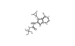 Cc1cccc2nc(NC(=O)CC(C)(C)C)c(C3CC3)n12